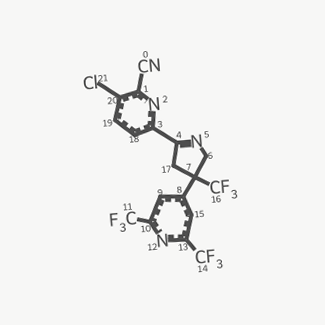 N#Cc1nc(C2=NCC(c3cc(C(F)(F)F)nc(C(F)(F)F)c3)(C(F)(F)F)C2)ccc1Cl